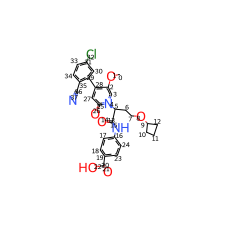 COc1cn(C(CCOC2CCC2)C(=O)Nc2ccc(C(=O)O)cc2)c(=O)cc1-c1cc(Cl)ccc1C#N